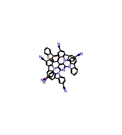 N#Cc1ccc2c(c1)c1cc(C#N)ccc1n2-c1nc(-n2c3ccccc3c3ccccc32)c(-n2c3ccc(C#N)cc3c3cc(C#N)ccc32)c(-c2ccc3c(c2)sc2ccccc23)c1-n1c2ccc(C#N)cc2c2cc(C#N)ccc21